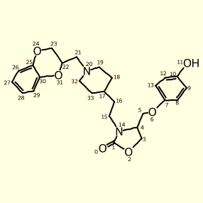 O=C1OCC(COc2ccc(O)cc2)N1CCC1CCN(CC2COc3ccccc3O2)CC1